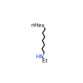 [CH2]CNCCCCCCCCCCCCC